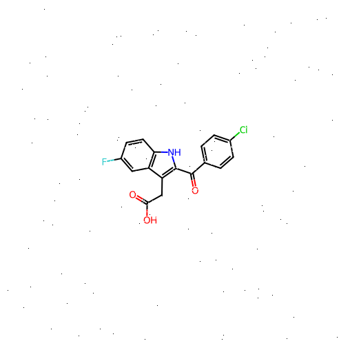 O=C(O)Cc1c(C(=O)c2ccc(Cl)cc2)[nH]c2ccc(F)cc12